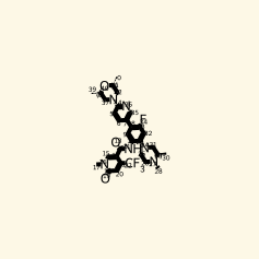 C[C@@H]1CN(c2ccc(-c3cc(NC(=O)c4cn(C)c(=O)cc4C(F)(F)F)c(N4CCN(C)[C@H](C)C4)cc3F)cn2)C[C@H](C)O1